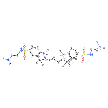 CN(C)CCNS(=O)(=O)c1ccc2c(c1)C(C)(C)C(/C=C/C=C1\N(C)c3ccc(S(=O)(=O)NCCN(C)C)cc3C1(C)C)=[N+]2C